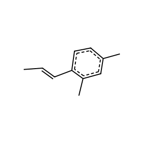 CC=Cc1ccc(C)cc1C